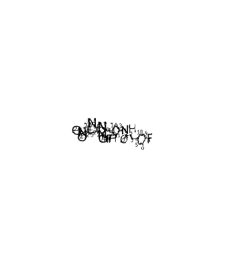 O=C(/C=C/c1ccc(F)cc1)Nc1ccc(-c2nc3ncc([N+](=O)[O-])cc3n2O)c(F)c1